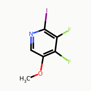 COc1cnc(I)c(F)c1F